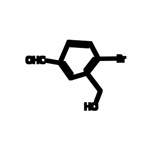 O=Cc1ccc(Br)c(CO)c1